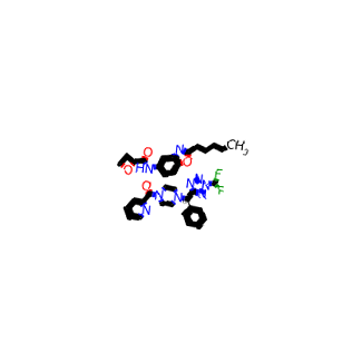 CCCCCc1nc2cc(NC(=O)C3CCO3)ccc2o1.O=C(c1ccccn1)N1CCN([C@@H](c2ccccc2)c2nnn(C(F)F)n2)CC1